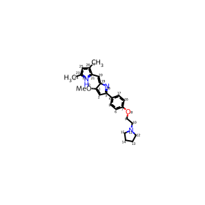 COC1=CC(c2ccc(OCCN3CCCC3)cc2)=N/C1=C/c1[nH]c(C)cc1C